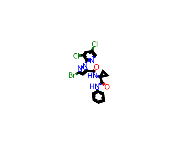 O=C(NC1(C(=O)Nc2ccccc2)CC1)c1cc(Br)nn1-c1ncc(Cl)cc1Cl